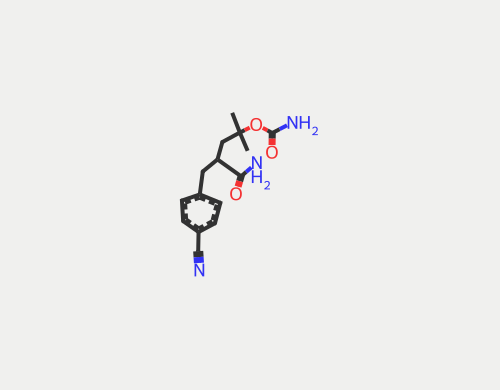 CC(C)(CC(Cc1ccc(C#N)cc1)C(N)=O)OC(N)=O